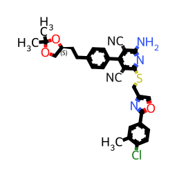 Cc1cc(-c2nc(CSc3nc(N)c(C#N)c(-c4ccc(CC[C@H]5COC(C)(C)O5)cc4)c3C#N)co2)ccc1Cl